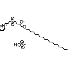 CCCCCCCCCCCCCCCCCCOCC(CCS(=O)(=O)CCC[n+]1ccccc1)OC.CS(=O)(=O)O